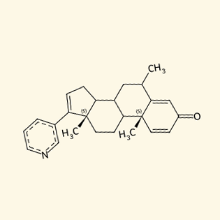 CC1CC2C(CC[C@]3(C)C(c4cccnc4)=CCC23)[C@@]2(C)C=CC(=O)C=C12